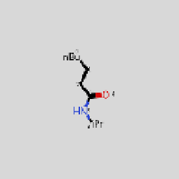 CCCCCCC(=O)NC(C)C